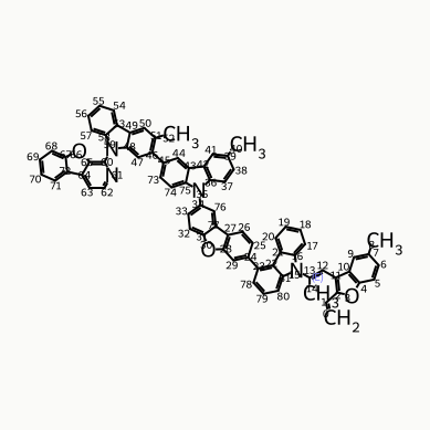 C=Cc1oc2ccc(C)cc2c1/C=C(\C)n1c2ccccc2c2c(-c3ccc4c(c3)oc3ccc(-n5c6ccc(C)cc6c6cc(-c7cc8c(cc7C)c7ccccc7n8-c7nccc8c7oc7ccccc78)ccc65)cc34)cccc21